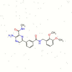 CNC(=O)c1nc(-c2cccc(C(=O)NCc3cccc(OC)c3OC)c2)cnc1N